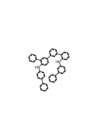 c1ccc(-c2ccc(Nc3ccc(-c4cccc(-c5ccccc5Nc5cccc(-c6ccccc6)c5)c4)cc3-c3ccccc3)cc2)cc1